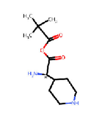 CC(C)(C)C(=O)OC(=O)[C@H](N)C1CCNCC1